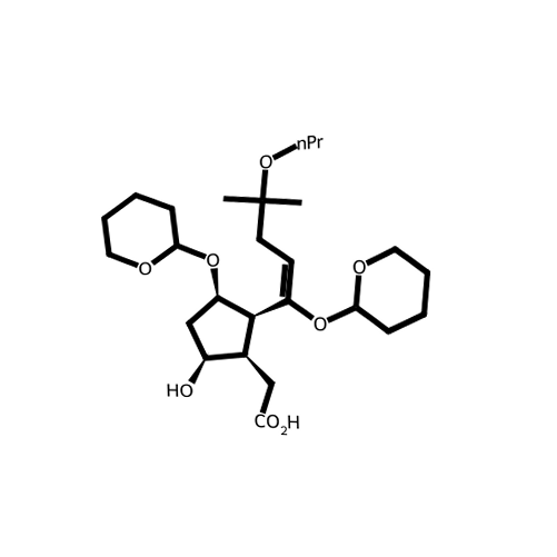 CCCOC(C)(C)CC=C(OC1CCCCO1)[C@H]1[C@@H](CC(=O)O)[C@@H](O)C[C@H]1OC1CCCCO1